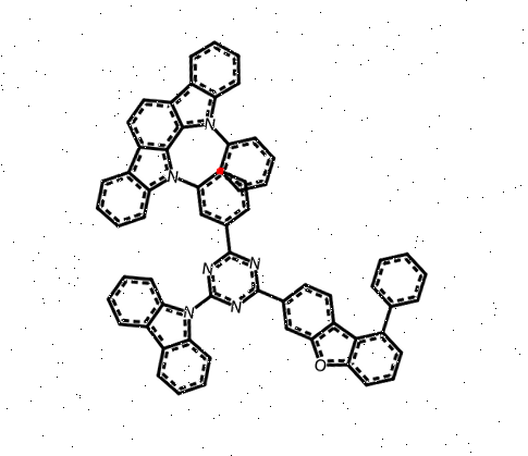 c1ccc(-c2cccc3oc4cc(-c5nc(-c6cccc(-n7c8ccccc8c8ccc9c%10ccccc%10n(-c%10ccccc%10)c9c87)c6)nc(-n6c7ccccc7c7ccccc76)n5)ccc4c23)cc1